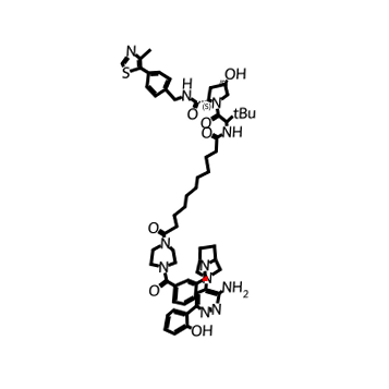 Cc1ncsc1-c1ccc(CNC(=O)[C@@H]2C[C@@H](O)CN2C(=O)C(NC(=O)CCCCCCCCCC(=O)N2CCN(C(=O)c3cccc(CN4C5CCC4CN(c4cc(-c6ccccc6O)nnc4N)C5)c3)CC2)C(C)(C)C)cc1